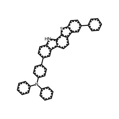 c1ccc(-c2ccc3sc4c(ccc5c6cc(-c7ccc(N(c8ccccc8)c8ccccc8)cc7)ccc6[nH]c54)c3c2)cc1